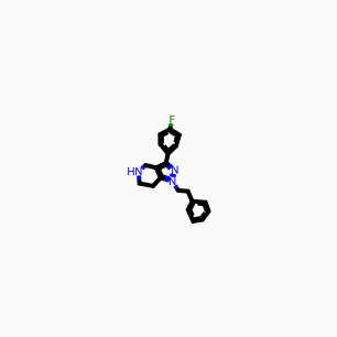 Fc1ccc(-c2nn(CCc3ccccc3)c3c2CNCC3)cc1